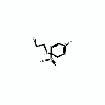 O=[N+]([O-])C1(OCCCl)C=CC(F)=CC1